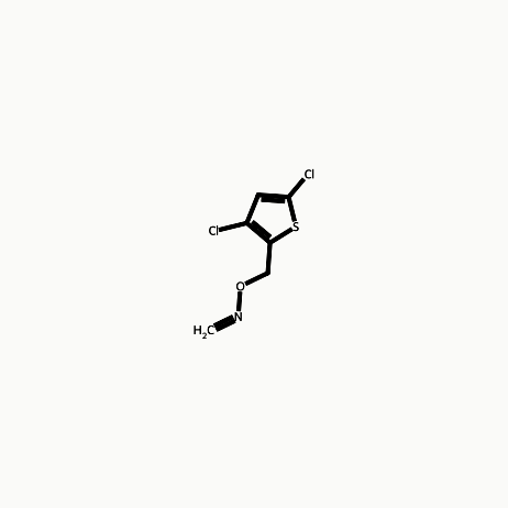 C=NOCc1sc(Cl)cc1Cl